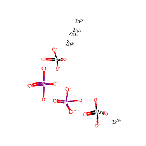 O=P([O-])([O-])[O-].O=P([O-])([O-])[O-].[O]=[Mo](=[O])([O-])[O-].[O]=[Mo](=[O])([O-])[O-].[Zn+2].[Zn+2].[Zn+2].[Zn+2].[Zn+2]